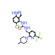 CC1CCN(c2nc(C(F)(F)F)ccc2CNC(=O)Nc2c(Cl)ccc3[nH]ncc23)CC1